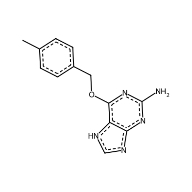 Cc1ccc(COc2nc(N)nc3nc[nH]c23)cc1